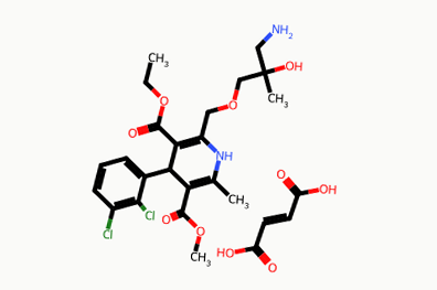 CCOC(=O)C1=C(COCC(C)(O)CN)NC(C)=C(C(=O)OC)C1c1cccc(Cl)c1Cl.O=C(O)/C=C/C(=O)O